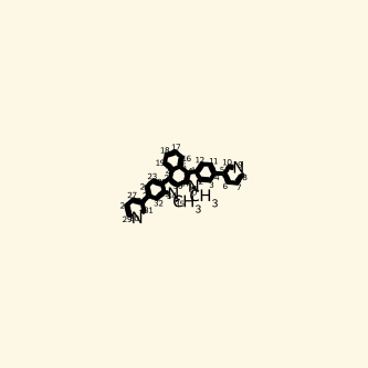 Cn1c2cc(-c3cccnc3)ccc2c2c3ccccc3c3c4ccc(-c5cccnc5)cc4n(C)c3c21